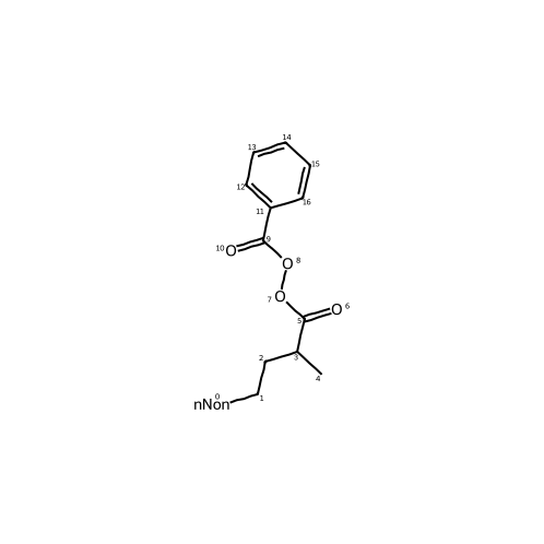 CCCCCCCCCCCC(C)C(=O)OOC(=O)c1ccccc1